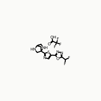 FC(F)c1nnc(-c2cnc(C34CNC(CN3)C4)s2)o1.O=C(O)C(F)(F)F